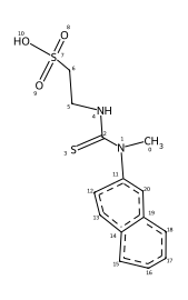 CN(C(=S)NCCS(=O)(=O)O)c1ccc2ccccc2c1